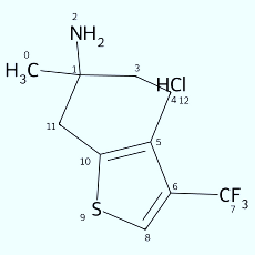 CC1(N)CCc2c(C(F)(F)F)csc2C1.Cl